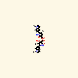 CCc1cc(C(=O)OC(=O)c2c(O)c(CC)c(-c3ccc4c(ccn4CC)c3)[nH]c2=O)c(=O)[nH]c1-c1ccc2c(ccn2CC)c1